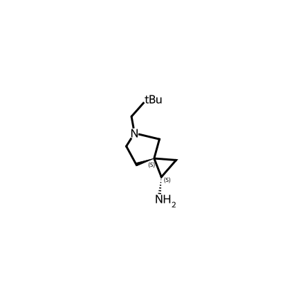 CC(C)(C)CN1CC[C@]2(C[C@@H]2N)C1